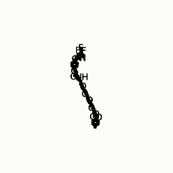 Cc1ccc(S(=O)(=O)OCCOCCOCCOCCOCCCNC(=O)COc2ccc(Oc3cncc(C(F)(F)F)c3)cc2)cc1